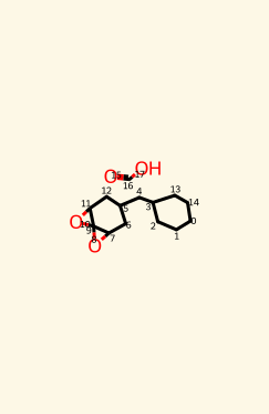 C1CCC(CC2CC3OC34OC4C2)CC1.O=CO